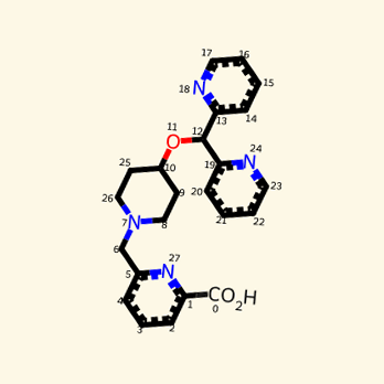 O=C(O)c1cccc(CN2CCC(OC(c3ccccn3)c3ccccn3)CC2)n1